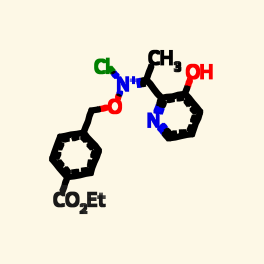 CCOC(=O)c1ccc(CO[N+](Cl)=C(C)c2ncccc2O)cc1